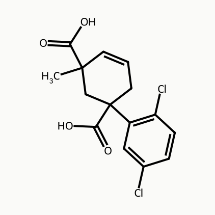 CC1(C(=O)O)C=CCC(C(=O)O)(c2cc(Cl)ccc2Cl)C1